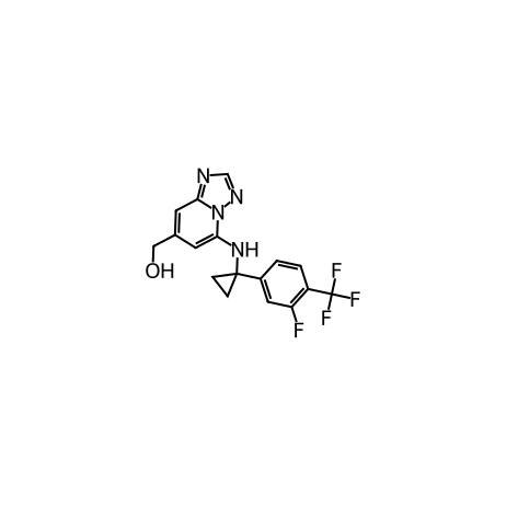 OCc1cc(NC2(c3ccc(C(F)(F)F)c(F)c3)CC2)n2ncnc2c1